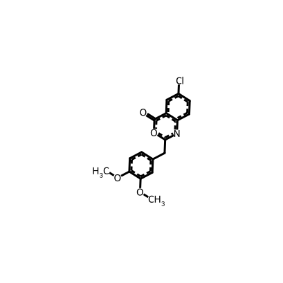 COc1ccc(Cc2nc3ccc(Cl)cc3c(=O)o2)cc1OC